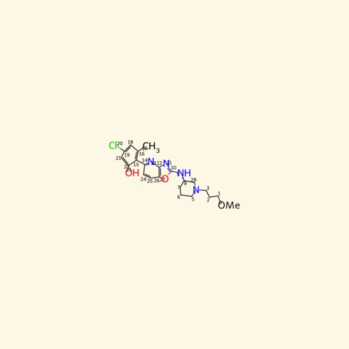 COCCCN1CCC[C@@H](Nc2nc3nc(-c4c(C)cc(Cl)cc4O)ccc3o2)C1